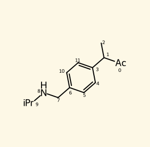 CC(=O)C(C)c1ccc(CNC(C)C)cc1